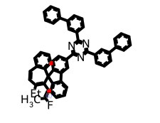 CCC1=C(/C=C(\C)F)C2(c3ccccc3C=C1)c1ccccc1-c1cc(-c3nc(-c4cccc(-c5ccccc5)c4)nc(-c4cccc(-c5ccccc5)c4)n3)ccc12